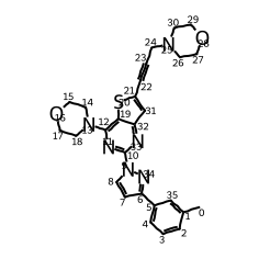 Cc1cccc(-c2ccn(-c3nc(N4CCOCC4)c4sc(C#CCN5CCOCC5)cc4n3)n2)c1